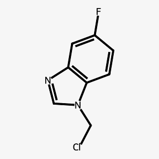 Fc1ccc2c(c1)ncn2CCl